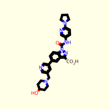 O=C(O)c1nn(C(=O)Nc2ccc(N3CCCC3)nc2)c2ccc(-c3cncc(CN4CCC(O)CC4)c3)cc12